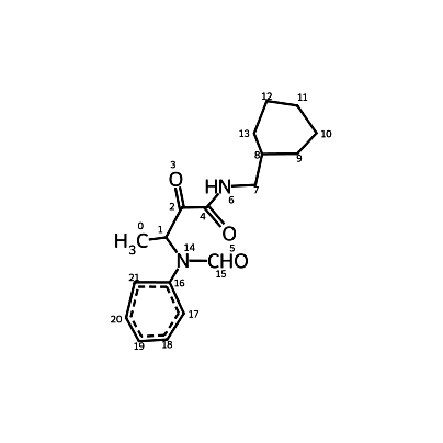 CC(C(=O)C(=O)NCC1CCCCC1)N(C=O)c1ccccc1